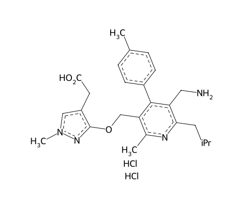 Cc1ccc(-c2c(COc3nn(C)cc3CC(=O)O)c(C)nc(CC(C)C)c2CN)cc1.Cl.Cl